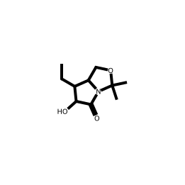 CCC1C(O)C(=O)N2C1COC2(C)C